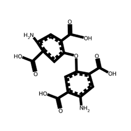 Nc1cc(C(=O)O)c(Oc2cc(C(=O)O)c(N)cc2C(=O)O)cc1C(=O)O